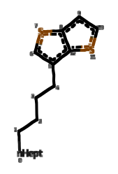 CCCCCCCCCCCc1csc2c[c]sc12